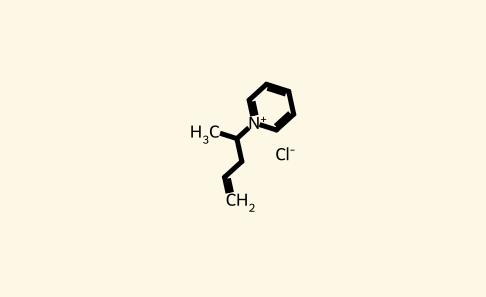 C=CCC(C)[n+]1ccccc1.[Cl-]